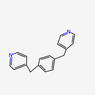 c1cc(Cc2ccc(Cc3ccncc3)cc2)ccn1